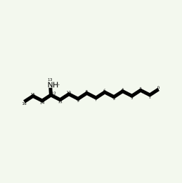 CCCCCCCCCCCCC([NH])CCC